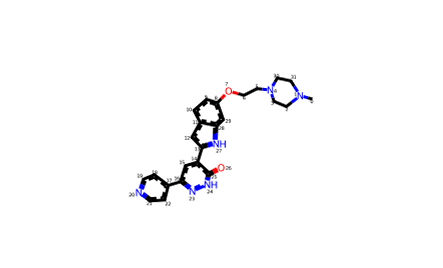 CN1CCN(CCOc2ccc3cc(-c4cc(-c5ccncc5)n[nH]c4=O)[nH]c3c2)CC1